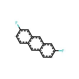 Fc1[c]cc2cc3c[c]c(F)cc3cc2c1